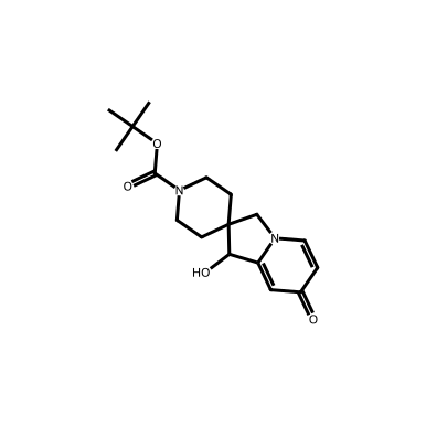 CC(C)(C)OC(=O)N1CCC2(CC1)Cn1ccc(=O)cc1C2O